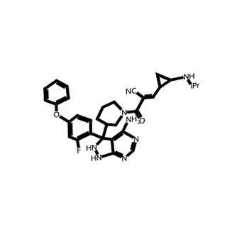 CC(C)NC1CC1/C=C(\C#N)C(=O)N1CCCC(C2(c3ccc(Oc4ccccc4)cc3F)NNc3ncnc(N)c32)C1